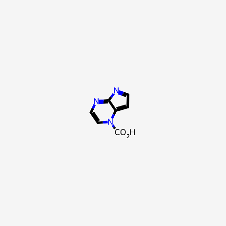 O=C(O)n1ccnc2nccc1-2